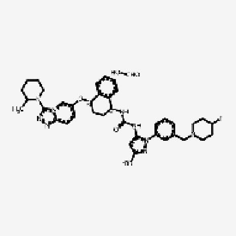 CC1CCCCN1c1nnc2ccc(O[C@@H]3CC[C@H](NC(=O)Nc4cc(C(C)(C)C)nn4-c4cccc(CN5CCC(F)CC5)c4)c4ccccc43)cn12.O=CO